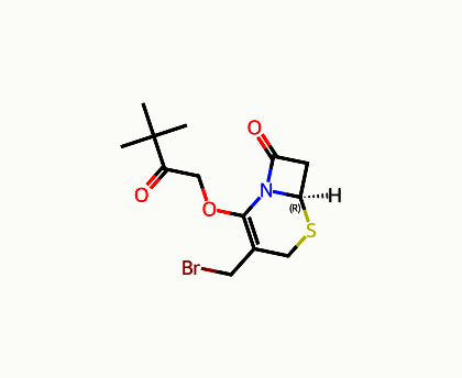 CC(C)(C)C(=O)COC1=C(CBr)CS[C@@H]2CC(=O)N12